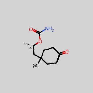 C[C@@H](CC1(C#N)CCC(=O)CC1)OC(N)=O